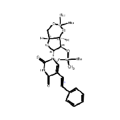 CC(C)(C)[Si](C)(C)O[C@@H]1[C@@H]2O[Si](C(C)(C)C)(C(C)(C)C)OC[C@H]2O[C@H]1n1cc(/C=C/c2ccccc2)c(=O)[nH]c1=O